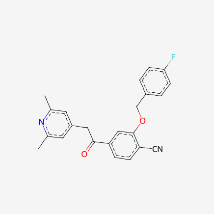 Cc1cc(CC(=O)c2ccc(C#N)c(OCc3ccc(F)cc3)c2)cc(C)n1